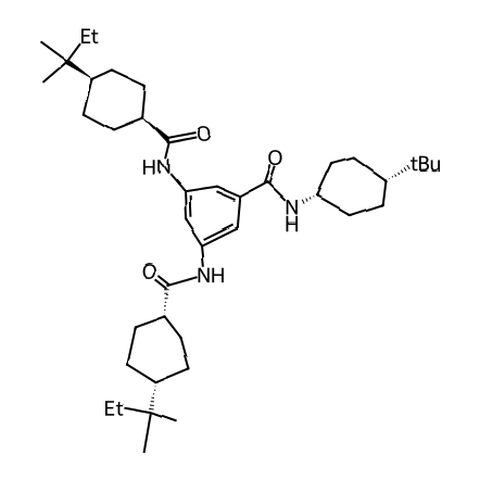 CCC(C)(C)[C@H]1CC[C@@H](C(=O)Nc2cc(NC(=O)[C@H]3CC[C@@H](C(C)(C)CC)CC3)cc(C(=O)N[C@H]3CC[C@@H](C(C)(C)C)CC3)c2)CC1